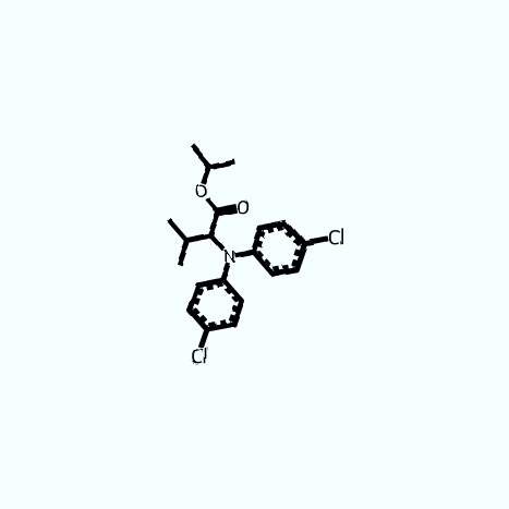 CC(C)OC(=O)C(C(C)C)N(c1ccc(Cl)cc1)c1ccc(Cl)cc1